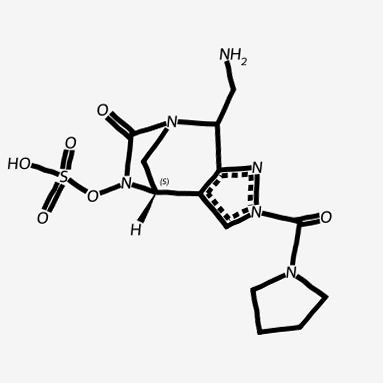 NCC1c2nn(C(=O)N3CCCC3)cc2[C@H]2CN1C(=O)N2OS(=O)(=O)O